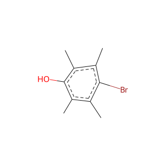 Cc1c(C)c(Br)c(C)c(C)c1O